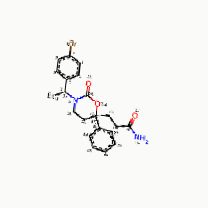 CC[C@@H](c1ccc(Br)cc1)N1CC[C@@](CCC(N)=O)(c2ccccc2)OC1=O